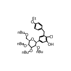 CCCCOC[C@H]1O[C@@H](c2cc(O)c(Cl)c(Cc3ccc(OCC)cc3)c2)[C@H](OCCCC)[C@@H](OCCCC)[C@@H]1OCCCC